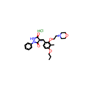 CCCOc1ccc(/C=C2/C(=O)NN(c3ccccc3)C2=O)c(OCCN2CCOCC2)c1C.Cl